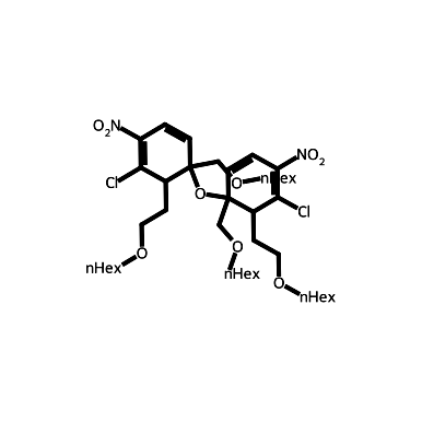 CCCCCCOCCC1C(Cl)=C([N+](=O)[O-])C=CC1(COCCCCCC)OC1(COCCCCCC)C=CC([N+](=O)[O-])=C(Cl)C1CCOCCCCCC